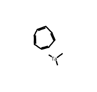 C1=C\C=C/C=C\C=C/1.[CH3][Ta]([CH3])[CH3]